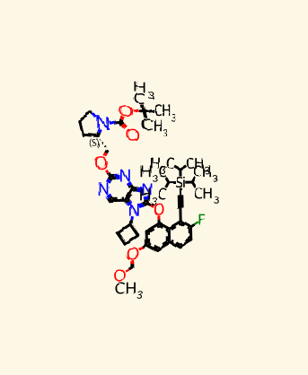 COCOc1cc(Oc2nc3nc(OC[C@@H]4CCCN4C(=O)OC(C)(C)C)ncc3n2C2CCC2)c2c(C#C[Si](C(C)C)(C(C)C)C(C)C)c(F)ccc2c1